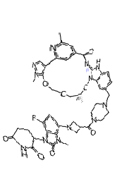 Cc1cc2cc(n1)-c1cnn(C)c1OCCC[C@@H](C)CN1/C(=N/C2=O)Nc2ccc(CN3CCN(C(=O)C4CN(c5ccc(F)c6c5n(C)c(=O)n6C5CCC(=O)NC5=O)C4)CC3)cc21